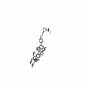 C/C=C/CCc1ccc(-c2cc(F)c(C(F)(F)Oc3cc(F)c(OC(F)(F)C=C(F)F)c(F)c3)c(F)c2)cc1